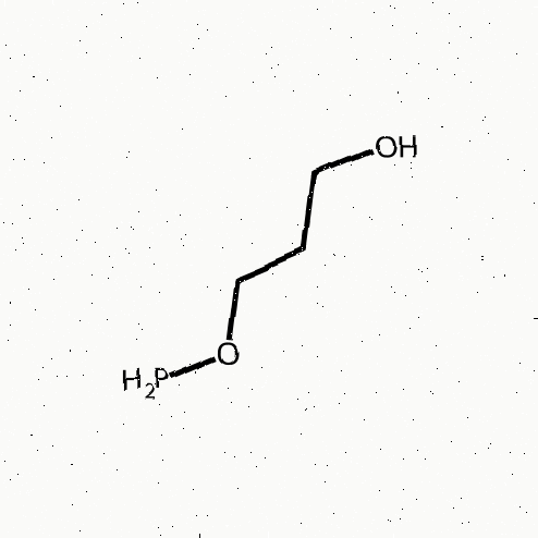 OCCCOP